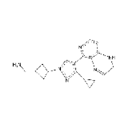 NCC1CC(n2cc(-c3nccc4c3N=CCN4)c(C3CC3)n2)C1